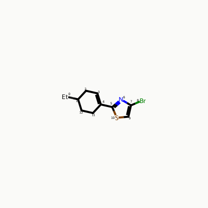 CCC1CC=C(c2nc(Br)cs2)CC1